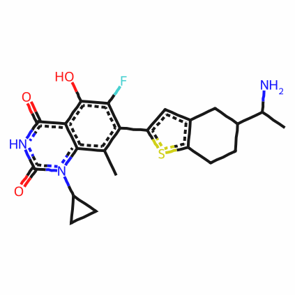 Cc1c(-c2cc3c(s2)CCC(C(C)N)C3)c(F)c(O)c2c(=O)[nH]c(=O)n(C3CC3)c12